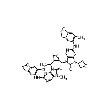 Cc1cc2c(cc1Nc1ncc3c(n1)n(C1COC1)c(=O)n3CC1OCC1C(C)n1c(=O)n(C)c3cnc(Nc4cc5c(cc4Cl)OCC5)nc31)CCO2